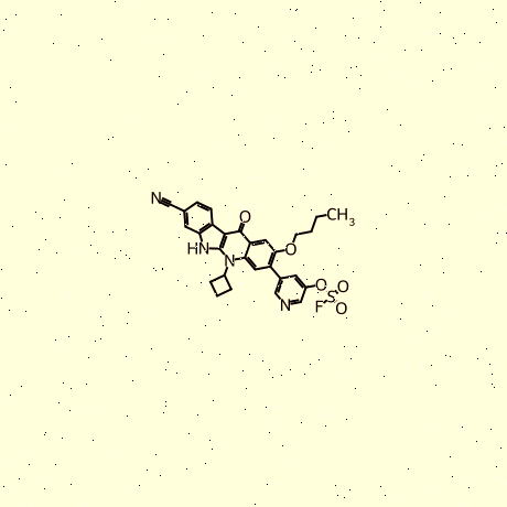 CCCCOc1cc2c(=O)c3c4ccc(C#N)cc4[nH]c3n(C3CCC3)c2cc1-c1cncc(OS(=O)(=O)F)c1